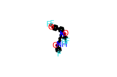 O=C(NCCCCCN(c1cccc(-c2ccc(OC(F)F)cc2)c1)C(=O)[C@H]1C[C@H](C(F)(F)F)C1)c1ccc(F)cc1